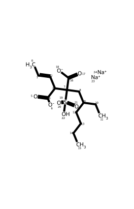 CC=CC(C(=O)[O-])C(CC(CC)CCCC)(C(=O)[O-])S(=O)(=O)O.[Na+].[Na+]